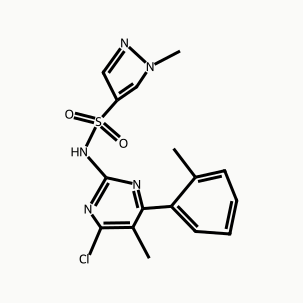 Cc1ccccc1-c1nc(NS(=O)(=O)c2cnn(C)c2)nc(Cl)c1C